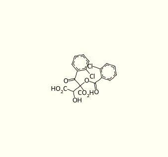 O=C(OC(C(=O)O)(C(=O)c1ccccc1Cl)C(O)C(=O)O)c1ccccc1Cl